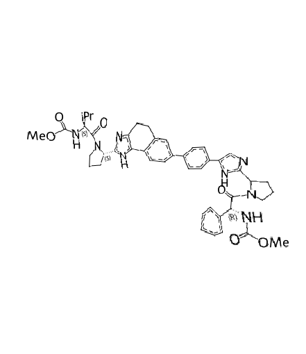 COC(=O)N[C@H](C(=O)N1CCC[C@H]1c1nc2c([nH]1)-c1ccc(-c3ccc(-c4cnc(C5CCCN5C(=O)[C@H](NC(=O)OC)c5ccccc5)[nH]4)cc3)cc1CC2)C(C)C